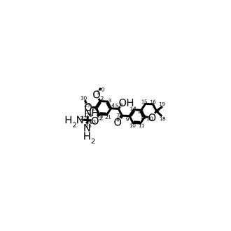 COc1cc(C(O)C(=O)c2ccc3c(c2)CCC(C)(C)O3)cc(OC(N)(N)N)c1OC